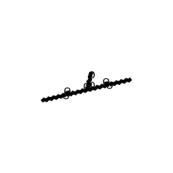 CCCCCCCCCCOC(=O)CCCCCCCC(CCCCCCCC(=O)OCCCCCCCCC)OC(=O)CCCOC